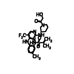 C=C(C)S(=O)(=O)Nc1cc(C)ccc1Nc1nc(N[C@H]2CCCN(C(=O)CO)C2)ncc1C(F)(F)F